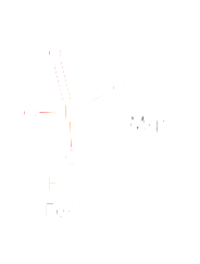 O=P([O-])([O-])[O-].[F-].[Fe+2].[Mg+2]